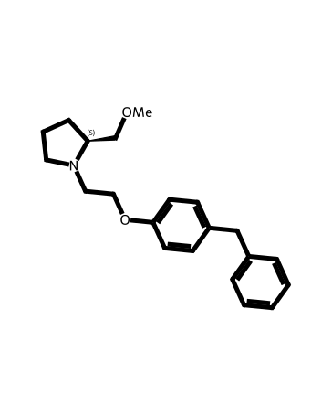 COC[C@@H]1CCCN1CCOc1ccc(Cc2ccccc2)cc1